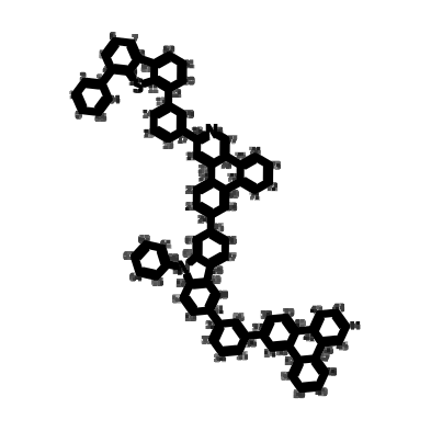 c1ccc(-c2cccc3c2sc2c(-c4cccc(-c5cc6c7ccc(-c8ccc9c%10cc(-c%11cccc(-c%12ccc%13c%14ccccc%14c%14ccccc%14c%13c%12)c%11)ccc%10n(-c%10ccccc%10)c9c8)cc7c7ccccc7c6cn5)c4)cccc23)cc1